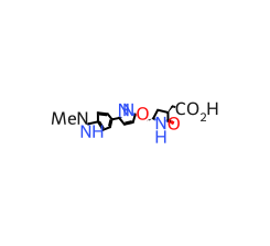 CNC(=N)c1ccc(-c2ccc(OC[C@@H]3C[C@@H](CC(=O)O)C(=O)N3)nn2)cc1